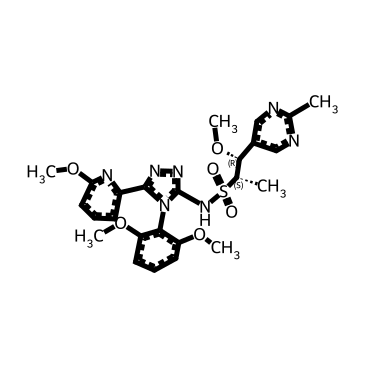 COc1cccc(-c2nnc(NS(=O)(=O)[C@@H](C)[C@H](OC)c3cnc(C)nc3)n2-c2c(OC)cccc2OC)n1